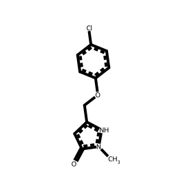 Cn1[nH]c(COc2ccc(Cl)cc2)cc1=O